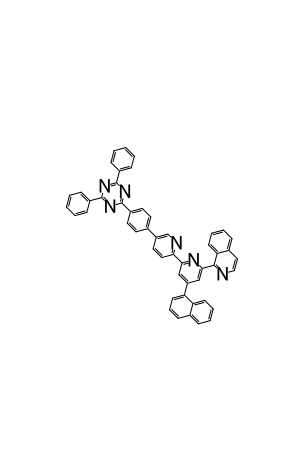 c1ccc(-c2nc(-c3ccccc3)nc(-c3ccc(-c4ccc(-c5cc(-c6cccc7ccccc67)cc(-c6nccc7ccccc67)n5)nc4)cc3)n2)cc1